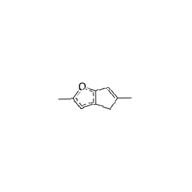 CC1=Cc2oc(C)cc2C1